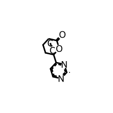 O=C1OC2(c3ccn[c]n3)CCC1CC2